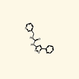 O=C(NCc1cccnc1)Nc1cc(-c2ccccc2)on1